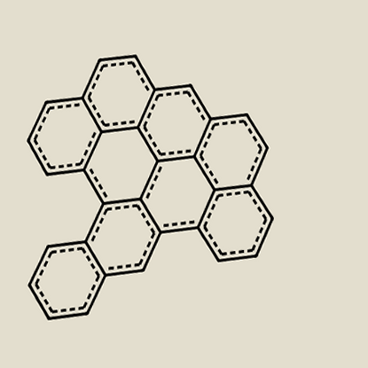 c1ccc2c(c1)cc1c3cccc4ccc5cc6ccc7cccc8c7c6c(c5c43)c1c28